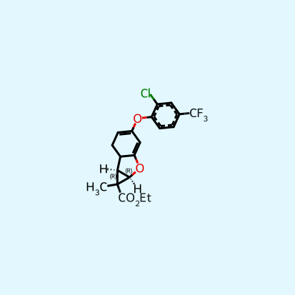 CCOC(=O)C1(C)[C@@H]2OC3=CC(Oc4ccc(C(F)(F)F)cc4Cl)=CCC3[C@@H]21